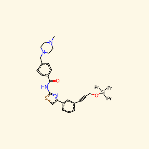 CC(C)[Si](OCC#Cc1cccc(-c2csc(NC(=O)c3ccc(CN4CCN(C)CC4)cc3)n2)c1)(C(C)C)C(C)C